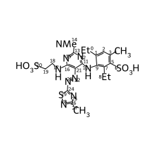 CCc1cc(C)c(S(=O)(=O)O)c(CC)c1Nc1nc(NC)nc(NCCS(=O)(=O)O)c1N=Nc1nc(C)ns1